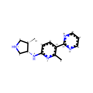 Cc1nc(N[C@@H]2CNC[C@@H]2C)ccc1-c1ncccn1